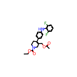 CCOC(=O)N1CCC(c2ccc(Nc3c(F)cccc3F)cc2)=C(COC(C)=O)C1